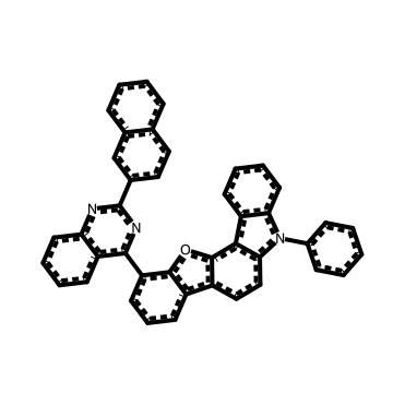 c1ccc(-n2c3ccccc3c3c4oc5c(-c6nc(-c7ccc8ccccc8c7)nc7ccccc67)cccc5c4ccc32)cc1